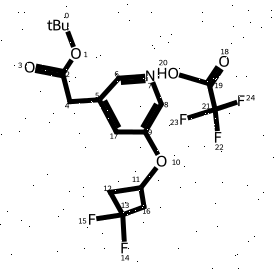 CC(C)(C)OC(=O)Cc1cncc(OC2CC(F)(F)C2)c1.O=C(O)C(F)(F)F